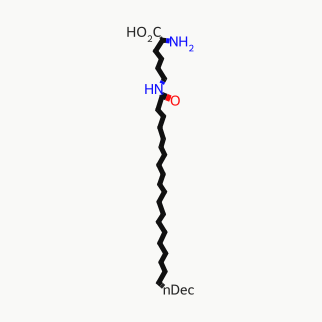 CCCCCCCCCCCCCCCCCCCCCCCCCCCCCC(=O)NCCCC[C@H](N)C(=O)O